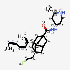 C=C(/C=C\C=C/C)[C@]12CC3CC(C(=O)N[C@H]4CCN[C@@H](C)C4)(C[C@](CCF)(C3)C1)C2